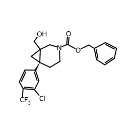 O=C(OCc1ccccc1)N1CC[C@]2(c3ccc(C(F)(F)F)c(Cl)c3)CC2(CO)C1